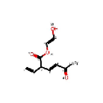 C=CC(C=CC(=O)CCC)C(=O)OC=CO